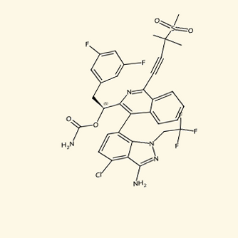 CC(C)(C#Cc1nc([C@H](Cc2cc(F)cc(F)c2)OC(N)=O)c(-c2ccc(Cl)c3c(N)nn(CC(F)(F)F)c23)c2ccccc12)S(C)(=O)=O